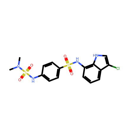 CN(C)S(=O)(=O)Nc1ccc(S(=O)(=O)Nc2cccc3c(Cl)c[nH]c23)cc1